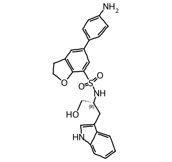 Nc1ccc(-c2cc3c(c(S(=O)(=O)N[C@@H](CO)Cc4c[nH]c5ccccc45)c2)OCC3)cc1